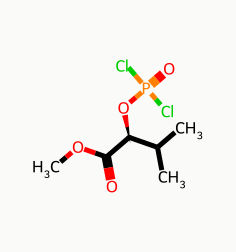 COC(=O)[C@@H](OP(=O)(Cl)Cl)C(C)C